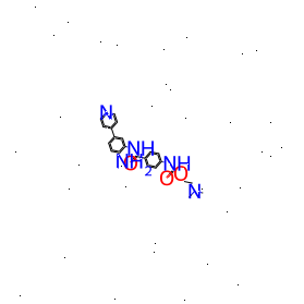 CN(C)CCOC(=O)Nc1ccc(C(=O)Nc2cc(-c3ccncc3)ccc2N)cc1